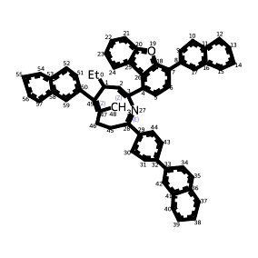 CCC1/C=C(c2ccc(-c3ccc4ccccc4c3)c3oc4ccccc4c23)\N=C(\c2ccc(-c3ccc4ccccc4c3)cc2)CC/C(C)=C/1c1ccc2ccccc2c1